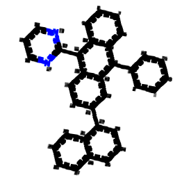 c1ccc(-c2c3ccccc3c(-c3ncccn3)c3ccc(-c4cccc5ccccc45)cc23)cc1